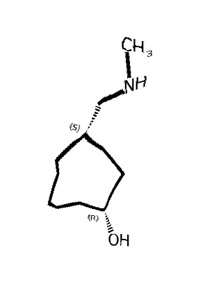 CNC[C@H]1CC[C@@H](O)C1